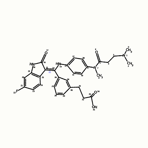 CN(C)CCC(=O)N(C)c1ccc(N/C(=C2\C(=O)Nc3cc(F)ccc32)c2cccc(CCC(=O)O)c2)cc1